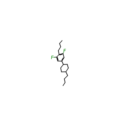 CCCCc1c(F)cc(C2CCC(CCCC)CC2)cc1F